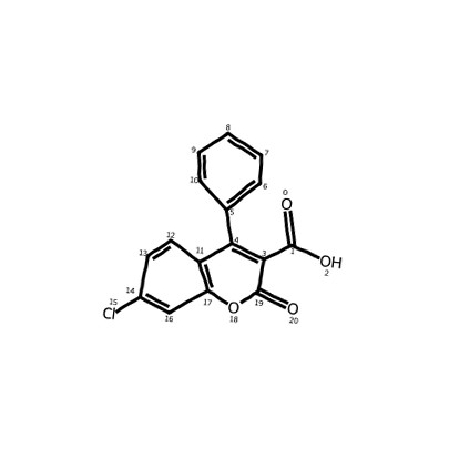 O=C(O)c1c(-c2ccccc2)c2ccc(Cl)cc2oc1=O